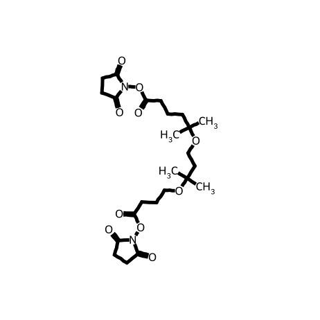 CC(C)(CCCC(=O)ON1C(=O)CCC1=O)OCCC(C)(C)OCCCC(=O)ON1C(=O)CCC1=O